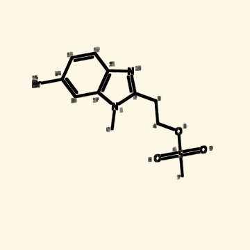 Cn1c(CCOS(C)(=O)=O)nc2ccc(Br)cc21